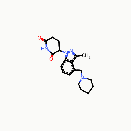 Cc1nn(C2CCC(=O)NC2=O)c2cccc(CN3CC[CH]CC3)c12